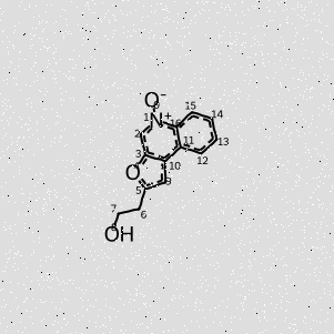 [O-][n+]1cc2oc(CCO)cc2c2ccccc21